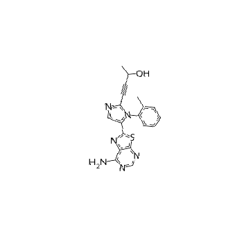 Cc1ccccc1-n1c(-c2nc3c(N)ncnc3s2)cnc1C#CC(C)O